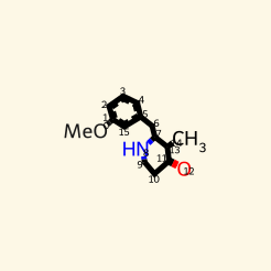 COc1cccc(CC2NCCC(=O)C2C)c1